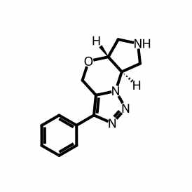 c1ccc(-c2nnn3c2CO[C@@H]2CNC[C@H]23)cc1